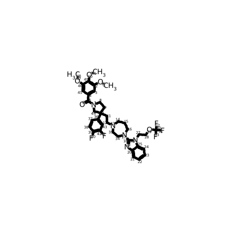 COc1cc(C(=O)N2CCC(CCN3CCCN(c4nc5ccccc5n4CCOC(F)(F)F)CC3)(c3ccc(F)c(F)c3)C2)cc(OC)c1OC